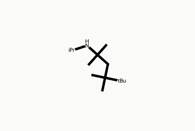 CC(C)NC(C)(C)CC(C)(C)C(C)(C)C